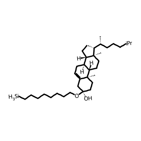 CC(C)CCC[C@@H](C)[C@H]1CC[C@H]2[C@@H]3CC=C4C[C@](O)(OCCCCCCCC[SiH3])CC[C@]4(C)[C@H]3CC[C@]12C